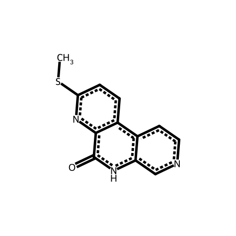 CSc1ccc2c(n1)c(=O)[nH]c1cnccc12